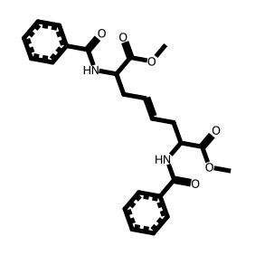 COC(=O)C(CC=CCC(NC(=O)c1ccccc1)C(=O)OC)NC(=O)c1ccccc1